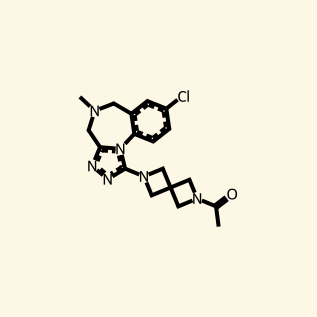 CC(=O)N1CC2(C1)CN(c1nnc3n1-c1ccc(Cl)cc1CN(C)C3)C2